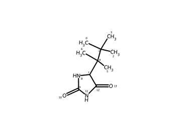 CC(C)(C)C(C)(C)C1NC(=O)NC1=O